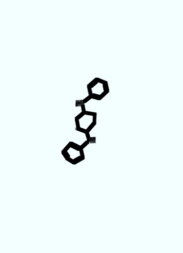 [CH]1CC(Pc2ccccc2)CCC1Pc1ccccc1